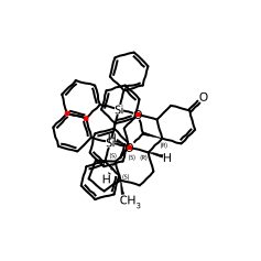 C[C@@]12CCC[C@H]1[C@@H]1CCC3CC(=O)C=C[C@]3(C(O[Si](c3ccccc3)(c3ccccc3)c3ccccc3)O[Si](c3ccccc3)(c3ccccc3)c3ccccc3)[C@@H]1CC2